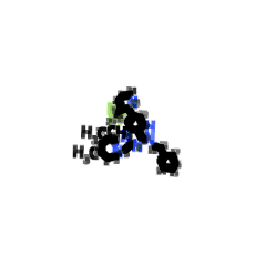 CC1CCN(Cc2nc(NCCc3ccccc3)c3ccc(-c4ncccc4C(F)(F)F)cc3n2)CC(C)(C)C1